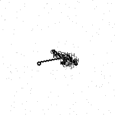 C=C[C@@H]1C[C@]1(NC(=O)[C@@H]1C[C@@]2(CN1C(=O)[C@@H](NC(CCCCCCCCCCCCCCC1CCCCC1)CNC(=O)c1ccc3occc3c1)C(C)(C)C)C(C)(C)C21CCC1)C(=O)NS(=O)(=O)N1CCCC1